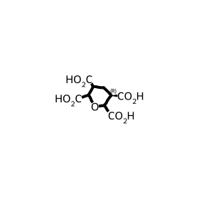 O=C(O)C1C[C@@H](C(=O)O)C(C(=O)O)OC1C(=O)O